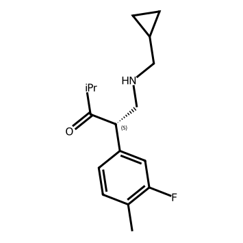 Cc1ccc([C@@H](CNCC2CC2)C(=O)C(C)C)cc1F